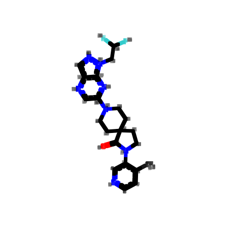 O=C1N(c2cnccc2C(F)(F)F)CCC12CCN(c1cnc3cnn(CC(F)F)c3n1)CC2